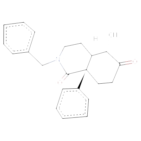 C[C@@H]1C(=O)CC[C@]2(c3ccccc3)C(=O)N(Cc3ccccc3)CC[C@@H]12